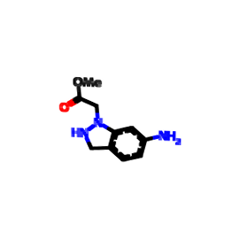 COC(=O)CN1NCc2ccc(N)cc21